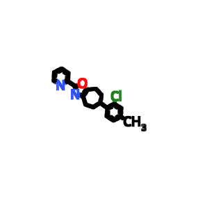 Cc1ccc(C2CCc3nc(-c4ccccn4)oc3CC2)c(Cl)c1